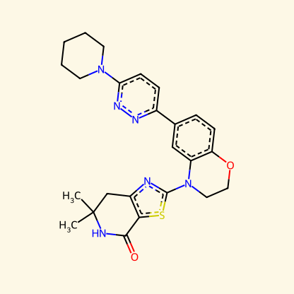 CC1(C)Cc2nc(N3CCOc4ccc(-c5ccc(N6CCCCC6)nn5)cc43)sc2C(=O)N1